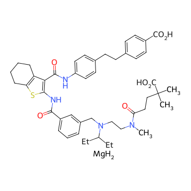 CCC(CC)N(CCN(C)C(=O)CCC(C)(C)C(=O)O)Cc1cccc(C(=O)Nc2sc3c(c2C(=O)Nc2ccc(CCc4ccc(C(=O)O)cc4)cc2)CCCC3)c1.[MgH2]